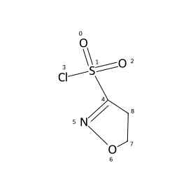 O=S(=O)(Cl)C1=NOCC1